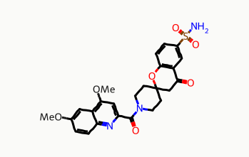 COc1ccc2nc(C(=O)N3CCC4(CC3)CC(=O)c3cc(S(N)(=O)=O)ccc3O4)cc(OC)c2c1